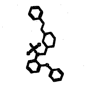 CS(=O)(=O)N(CC1CCCN(CCc2ccccc2)C1)c1ccccc1Oc1ccccc1